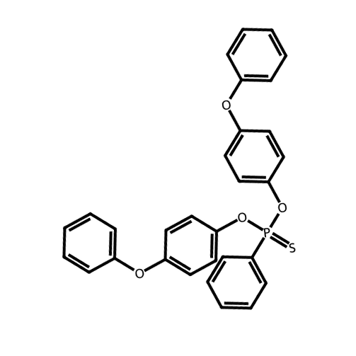 S=P(Oc1ccc(Oc2ccccc2)cc1)(Oc1ccc(Oc2ccccc2)cc1)c1ccccc1